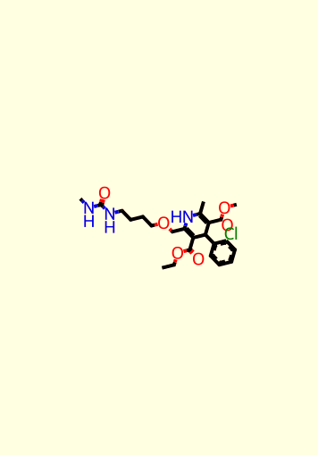 CCOC(=O)C1=C(COCCCCNC(=O)NC)NC(C)=C(C(=O)OC)C1c1ccccc1Cl